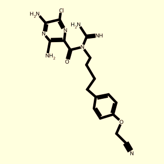 N#CCOc1ccc(CCCCN(C(=N)N)C(=O)c2nc(Cl)c(N)nc2N)cc1